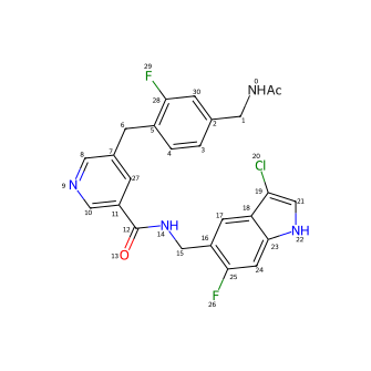 CC(=O)NCc1ccc(Cc2cncc(C(=O)NCc3cc4c(Cl)c[nH]c4cc3F)c2)c(F)c1